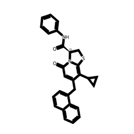 O=C(Nc1ccccc1)[C@H]1CSc2c(C3CC3)c(Cc3cccc4ccccc34)cc(=O)n21